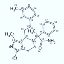 CCn1nc(C)c2c1CCN(C(C)(C(N)=O)c1ccccc1)C2CCc1cccc(C)c1